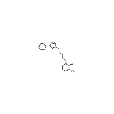 Oc1cccn(CCCCCc2cn(-c3ccccc3)nn2)c1=S